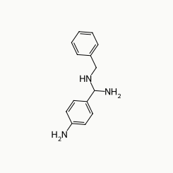 Nc1ccc(C(N)NCc2ccccc2)cc1